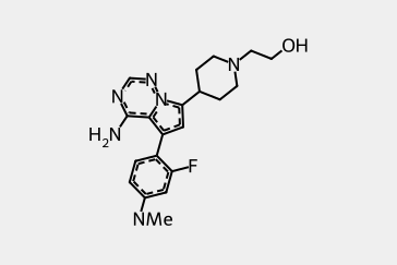 CNc1ccc(-c2cc(C3CCN(CCO)CC3)n3ncnc(N)c23)c(F)c1